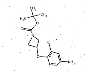 CC(C)(C)OC(=O)N1CC(Oc2ccc(N)cc2Cl)C1